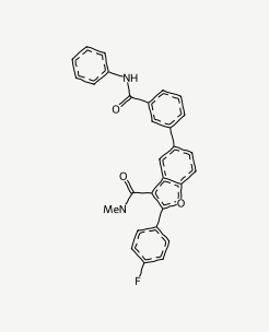 CNC(=O)c1c(-c2ccc(F)cc2)oc2ccc(-c3cccc(C(=O)Nc4ccccc4)c3)cc12